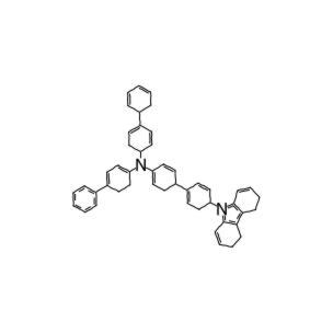 C1=CCC(C2=CCC(N(C3=CCC(C4=CCC(n5c6c(c7c5C=CCC7)CCC=C6)C=C4)C=C3)C3=CC=C(c4ccccc4)CC3)C=C2)C=C1